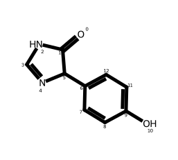 O=C1NC=NC1c1ccc(O)cc1